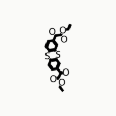 CCOC(=O)C(=O)c1ccc2c(c1)Sc1cc(C(=O)C(=O)OCC)ccc1S2